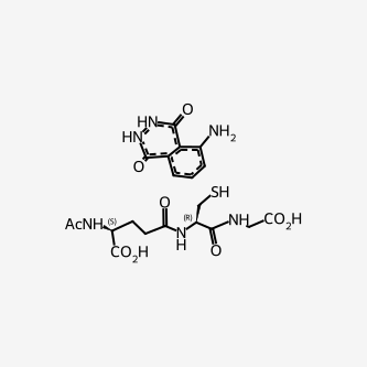 CC(=O)N[C@@H](CCC(=O)N[C@@H](CS)C(=O)NCC(=O)O)C(=O)O.Nc1cccc2c(=O)[nH][nH]c(=O)c12